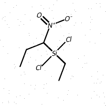 CCC([N+](=O)[O-])[Si](Cl)(Cl)CC